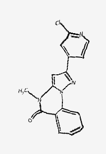 Cn1c(=O)c2ccccc2n2nc(-c3ccnc(Cl)c3)cc12